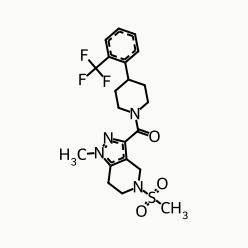 Cn1nc(C(=O)N2CCC(c3ccccc3C(F)(F)F)CC2)c2c1CCN(S(C)(=O)=O)C2